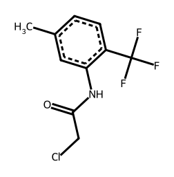 Cc1ccc(C(F)(F)F)c(NC(=O)CCl)c1